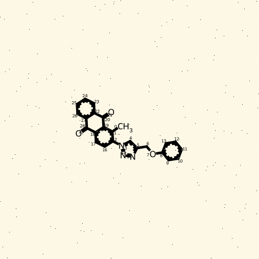 Cc1c(-n2cc(COc3ccccc3)nn2)ccc2c1C(=O)c1ccccc1C2=O